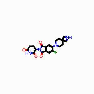 O=C1CCC(N2C(=O)c3cc(F)c(N4CCC5(CC4)CNC5)cc3C2=O)C(=O)N1